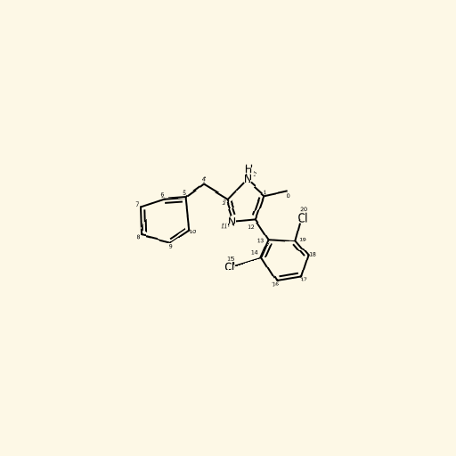 Cc1[nH]c(Cc2ccccc2)nc1-c1c(Cl)cccc1Cl